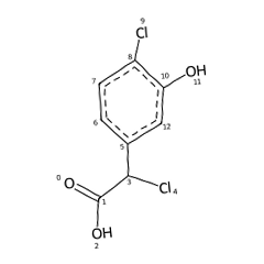 O=C(O)C(Cl)c1ccc(Cl)c(O)c1